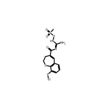 CCSc1cccc2c1OCCC(C(=O)N=C(N)NOS(C)(=O)=O)=C2